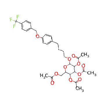 CC(=O)OCC1OC(OCCCCc2ccc(OCc3ccc(C(F)(F)F)cc3)cc2)C(OC(C)=O)C(OC(C)=O)C1OC(C)=O